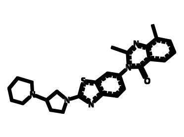 Cc1cccc2c(=O)n(-c3ccc4nc(N5CCC(N6CCCCC6)C5)sc4c3)c(C)nc12